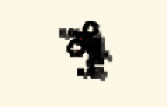 CCSCCNC1(C(=O)[C@H](C)NC(=O)[C@@H](NC2(CC(CC)(CC)CCOC(CC)(CC)CCNC(=O)CCC(C)(C)C)CCCCCCCCCCCCC2)C(C)C)CCCCCCCCCCC1